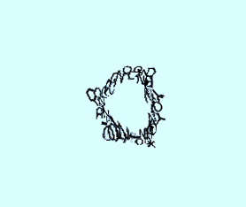 CC(C)C[C@H]1C(=O)N(C)[C@@H](CC(C)C)C(=O)NC(C(=O)N2CCCCC2)CC(=O)N(C)CCCC(=O)N(C)[C@@H](Cc2ccccc2)C(=O)N[C@@H](C(C)O)C(=O)N(C)[C@@H](C)C(=O)N[C@@H](COC(C)(C)C)C(=O)N1C